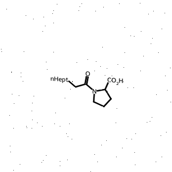 CCCCCCCCC(=O)N1CCCC1C(=O)O